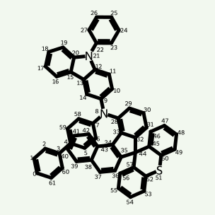 c1ccc(-c2ccc(N(c3ccc4c(c3)c3ccccc3n4-c3ccccc3)c3cccc4c3-c3c(ccc5ccccc35)C43c4ccccc4Sc4ccccc43)cc2)cc1